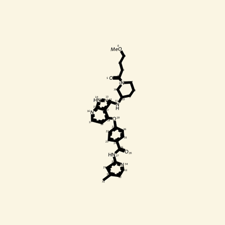 COCCCC(=O)N1CCCC(Nc2n[nH]c3nccc(Oc4ccc(C(=O)Nc5cc(C)ccn5)cc4)c23)C1